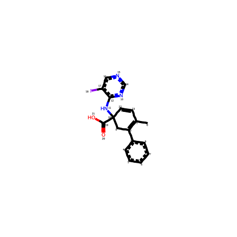 CC1=C(c2ccccc2)CC(Nc2ncncc2I)(C(=O)O)C=C1